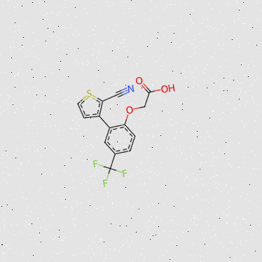 N#Cc1sccc1-c1cc(C(F)(F)F)ccc1OCC(=O)O